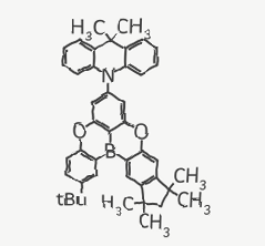 CC(C)(C)c1ccc2c(c1)B1c3cc4c(cc3Oc3cc(N5c6ccccc6C(C)(C)c6ccccc65)cc(c31)O2)C(C)(C)CC4(C)C